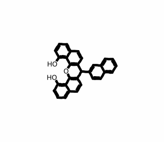 Oc1cccc2ccc3c(c12)Oc1c(ccc2cccc(O)c12)C3c1ccc2ccccc2c1